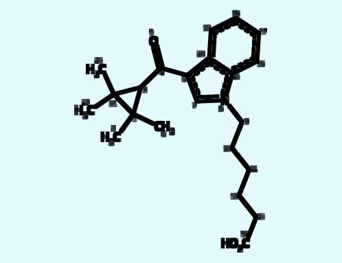 CC1(C)C(C(=O)c2cn(CCCCCC(=O)O)c3ccccc23)C1(C)C